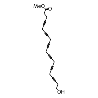 COC(=O)CCC#CCC#CCC#CCC#CCC#CCC#CCCO